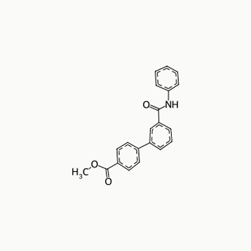 COC(=O)c1ccc(-c2cccc(C(=O)Nc3ccccc3)c2)cc1